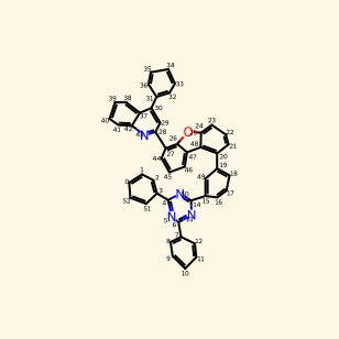 c1ccc(-c2nc(-c3ccccc3)nc(-c3cccc(-c4cccc5oc6c(-c7cc(-c8ccccc8)c8ccccc8n7)cccc6c45)c3)n2)cc1